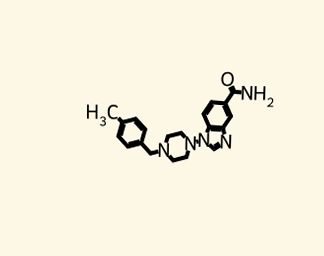 Cc1ccc(CN2CCN(n3cnc4cc(C(N)=O)ccc43)CC2)cc1